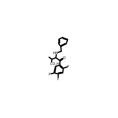 CC(C(=O)O)C(NCc1ccccc1)C(=O)c1cc(F)c(F)cc1F